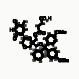 COc1ccc(C(OC[C@@]2(COC(=O)CCC(=O)O)COC[C@H](n3cc(C)c(=O)[nH]c3=O)O2)(c2ccccc2)c2ccc(OC)cc2)cc1